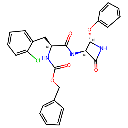 O=C(N[C@@H](Cc1ccccc1Cl)C(=O)N[C@@H]1C(=O)N[C@H]1Oc1ccccc1)OCc1ccccc1